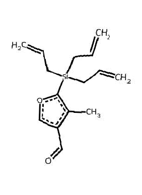 C=CC[Si](CC=C)(CC=C)c1occ(C=O)c1C